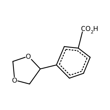 O=C(O)c1cccc(C2COCO2)c1